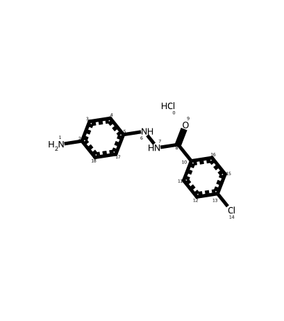 Cl.Nc1ccc(NNC(=O)c2ccc(Cl)cc2)cc1